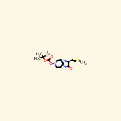 CSCC[C@@H]1NC2(CCN(OC(=O)OC(C)(C)C)CC2)NC1=O